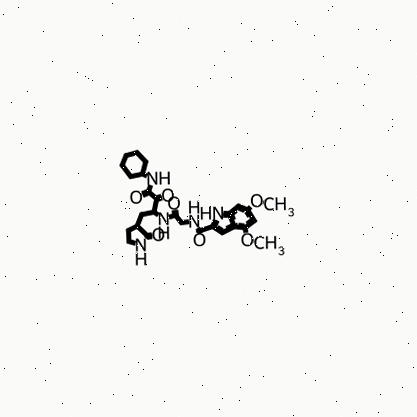 COc1cc(OC)c2cc(C(=O)NCC(=O)NC(CC3CCNC3=O)C(=O)C(=O)NC3CCCCC3)[nH]c2c1